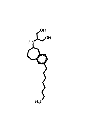 CCCCCCCCc1ccc2c(c1)CCCC(NC(CO)CO)C2